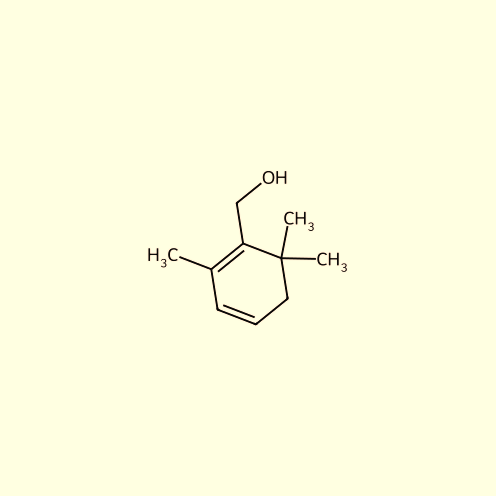 CC1=C(CO)C(C)(C)CC=C1